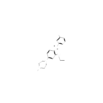 CCNc1cc(N2CCN(C)CC2)ccc1S(=O)(=O)c1cccc(F)c1